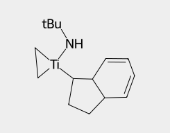 CC(C)(C)[NH][Ti]1([CH]2CCC3C=CC=CC32)[CH2][CH2]1